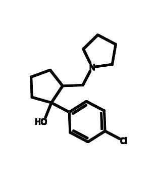 OC1(c2ccc(Cl)cc2)CCCC1CN1CCCC1